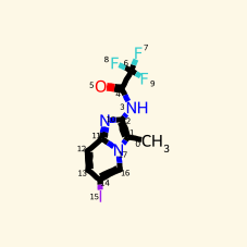 Cc1c(NC(=O)C(F)(F)F)nc2ccc(I)cn12